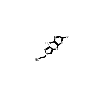 N#CCCn1cc(Oc2nc(Br)cnc2N)cn1